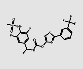 CC(NC(=O)Oc1csc(-c2cccc(C(F)(F)F)c2)n1)c1cc(F)c(NS(C)(=O)=O)c(F)c1